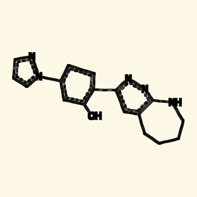 Oc1cc(-n2cccn2)ccc1-c1cc2c(nn1)NCCCC2